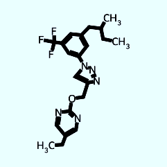 CCc1cnc(OCc2cn(-c3cc(CC(C)CC)cc(C(F)(F)F)c3)nn2)nc1